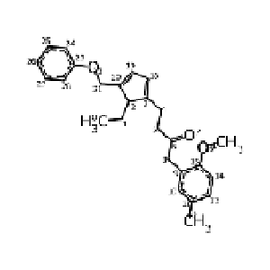 CCC1C(CCC(=O)Cc2cc(C)ccc2OC)=CC=C1COc1ccccc1